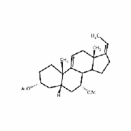 C/C=C1/CCC2C3C(=CC[C@]12C)[C@@]1(C)CC[C@@H](OC(C)=O)C[C@H]1C[C@H]3OC(C)=O